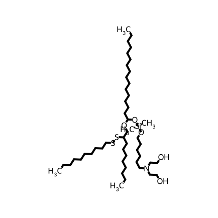 CCCCCCCCCCCCCCCC(OCC(CCCCCCCC)SSCCCCCCCCCC)O[Si](C)(C)OCCCCCCN(CCO)CCO